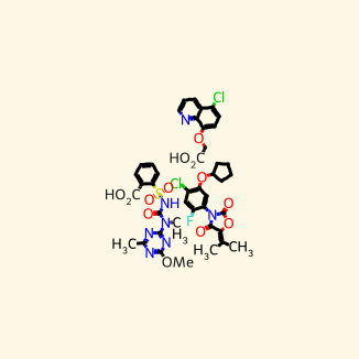 CC(C)=C1OC(=O)N(c2cc(OC3CCCC3)c(Cl)cc2F)C1=O.COc1nc(C)nc(N(C)C(=O)NS(=O)(=O)c2ccccc2C(=O)O)n1.O=C(O)COc1ccc(Cl)c2cccnc12